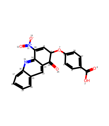 O=C(O)c1ccc(OC2C=C([N+](=O)[O-])c3nc4ccccc4cc3C2=O)cc1